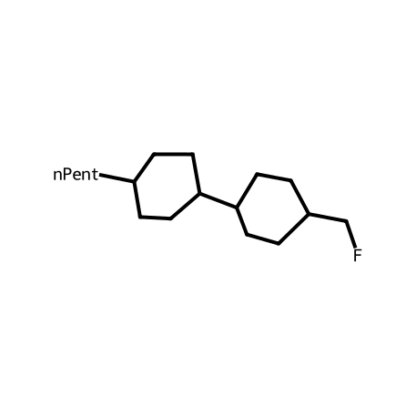 CCCCCC1CCC(C2CCC(CF)CC2)CC1